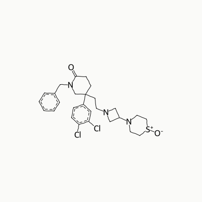 O=C1CCC(CCN2CC(N3CC[S+]([O-])CC3)C2)(c2ccc(Cl)c(Cl)c2)CN1Cc1ccccc1